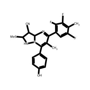 CSC1NN2C(c3ccc(O)cc3)=C(C)C(c3cc(F)c(C)c(F)c3F)=NC2C1C#N